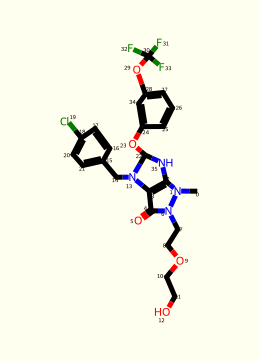 Cn1c2c(c(=O)n1CCOCCO)N(Cc1ccc(Cl)cc1)C(Oc1cccc(OC(F)(F)F)c1)N2